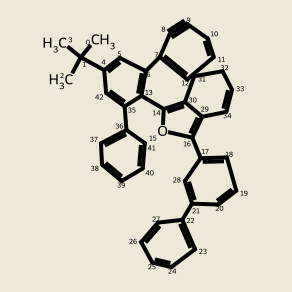 CC(C)(C)c1cc(-c2c#cccc2)c(-c2oc(-c3cccc(-c4ccccc4)c3)c3c2CCC=C3)c(-c2ccccc2)c1